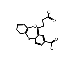 O=C(O)CCC1=C2C=C(C(=O)O)C=CC2SC2=C(C=CCC2)O1